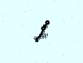 C=C(C)C(=O)OCC(O)CC(O)COc1ccc2cc(-c3ccccc3)oc2c1